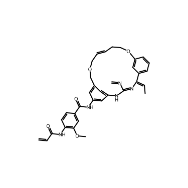 C=CC(=O)Nc1ccc(C(=O)Nc2cc3cc(c2)N/C(N=C)=N/C(=C\C)c2cccc(c2)OCC/C=C/COC3)cc1OC